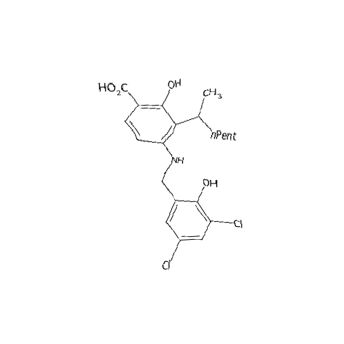 CCCCCC(C)c1c(NCc2cc(Cl)cc(Cl)c2O)ccc(C(=O)O)c1O